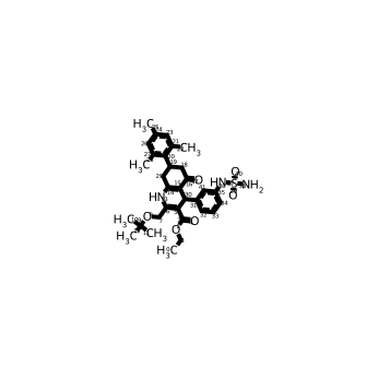 CCOC(=O)C1=C(COC(C)(C)C)NC2=C(C(=O)CC(c3c(C)cc(C)cc3C)C2)C1c1cccc(NS(N)(=O)=O)c1